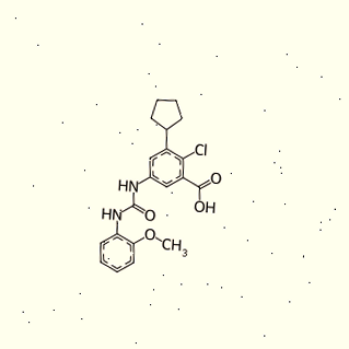 COc1ccccc1NC(=O)Nc1cc(C(=O)O)c(Cl)c(C2CCCC2)c1